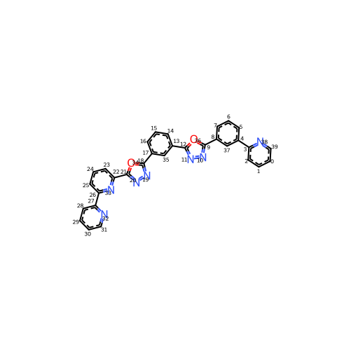 c1ccc(-c2cccc(-c3nnc(-c4cccc(-c5nnc(-c6cccc(-c7ccccn7)n6)o5)c4)o3)c2)nc1